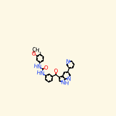 COc1cccc(NC(=O)Nc2cccc(C(=O)c3c[nH]c4ncc(-c5cccnc5)cc34)c2)c1